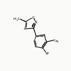 Cc1nc(-c2ccc(Br)c(C#N)c2)no1